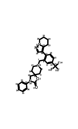 O=C1OC2(CCN(Cc3cc(C(F)(F)F)ccc3-c3cnn4c3CCCC4)CC2)CN1c1ccccc1